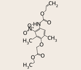 C=CCOC(=O)Nc1cc(C)c(OCC(=O)OCC)c(C)c1[N+](=O)[O-]